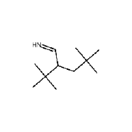 CC(C)(C)CC(C=N)C(C)(C)C